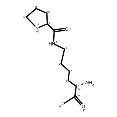 N[C@@H](CCCCNC(=O)C1CCCN1)C(=O)F